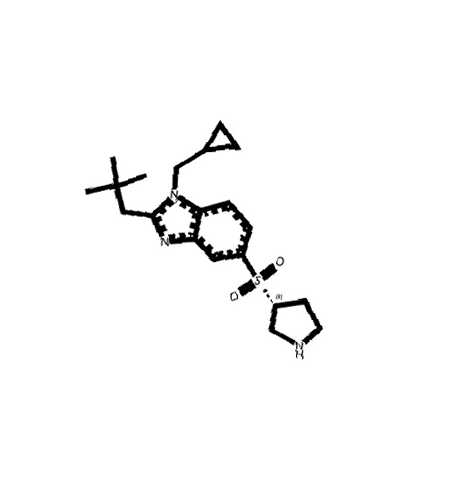 CC(C)(C)Cc1nc2cc(S(=O)(=O)[C@@H]3CCNC3)ccc2n1CC1CC1